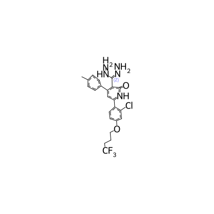 Cc1ccc(-c2cc(-c3ccc(OCCCC(F)(F)F)cc3Cl)[nH]c(=O)c2/C(=N/N)NN)cc1